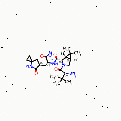 CC(C)(C)[C@H](N)C(=O)N1C[C@H]2[C@@H]([C@H]1C(=O)N[C@@H](C[C@@H]1CC3(CC3)NC1=O)C(N)=O)C2(C)C